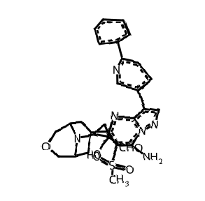 CS(=O)(=O)c1c(C2CC3COCC(C2)N3C2CC2(O)C=O)nc2c(-c3ccc(-c4ccccc4)nc3)cnn2c1N